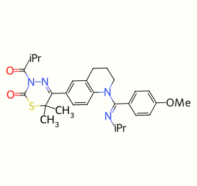 COc1ccc(C(=NC(C)C)N2CCCc3cc(C4=NN(C(=O)C(C)C)C(=O)SC4(C)C)ccc32)cc1